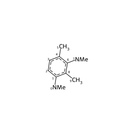 CNc1ccc(C)c(NC)c1C